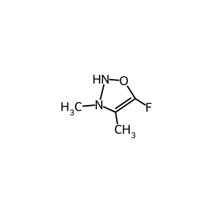 CC1=C(F)ONN1C